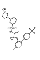 Cc1ccc(-c2ccc(C(F)(F)F)cc2)c(OC2(C(=O)NS(=O)(=O)c3cccc(N4CC[C@H](O)C4)n3)CC2)c1